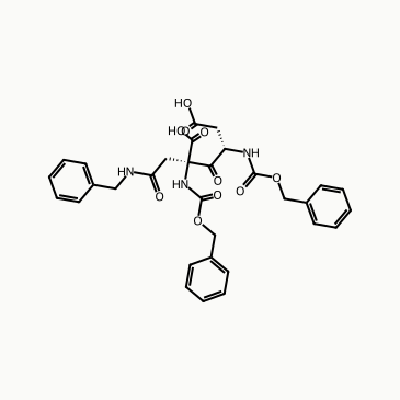 O=C(O)C[C@H](NC(=O)OCc1ccccc1)C(=O)[C@@](CC(=O)NCc1ccccc1)(NC(=O)OCc1ccccc1)C(=O)O